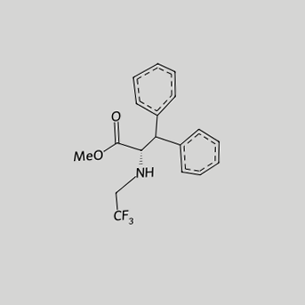 COC(=O)[C@@H](NCC(F)(F)F)C(c1ccccc1)c1ccccc1